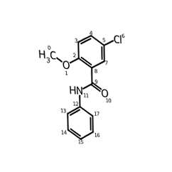 COc1ccc(Cl)cc1C(=O)Nc1ccccc1